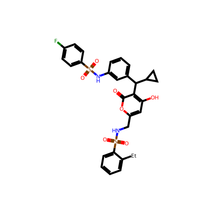 CCc1ccccc1S(=O)(=O)NCc1cc(O)c(C(c2cccc(NS(=O)(=O)c3ccc(F)cc3)c2)C2CC2)c(=O)o1